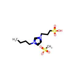 CCCC[n+]1ccn(CCCS(=O)(=O)O)c1.CS(=O)(=O)[O-]